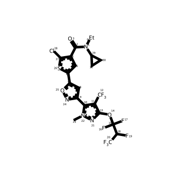 CCN(C(=O)c1cc(-c2cc(-c3c(C(F)(F)F)c(OC(F)(F)C(F)C(F)(F)F)nn3C)no2)sc1Cl)C1CC1